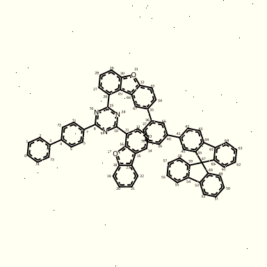 c1ccc(-c2ccc(-c3nc(-c4cccc5c4oc4ccccc45)nc(-c4cccc5oc6ccc(-c7cccc(-c8ccc9c(c8)C8(c%10ccccc%10-c%10ccccc%108)c8ccccc8-9)c7)cc6c45)n3)cc2)cc1